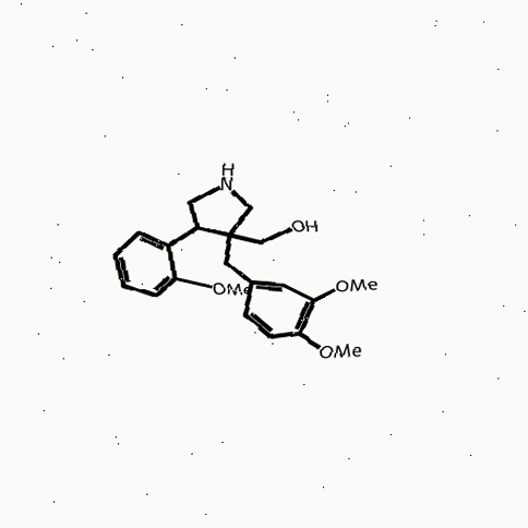 COc1ccc(CC2(CO)CNCC2c2ccccc2OC)cc1OC